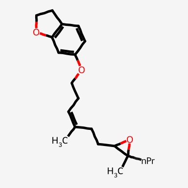 CCCC1(C)OC1CCC(C)=CCCOc1ccc2c(c1)OCC2